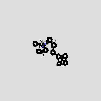 N=C(/N=C(\N=C\c1cccc2oc3ccc(-c4cccc(-c5ccc6c(c5)-c5ccccc5C65c6ccccc6-c6ccccc65)c4)cc3c12)c1cccc2sc3ccccc3c12)c1ccccc1